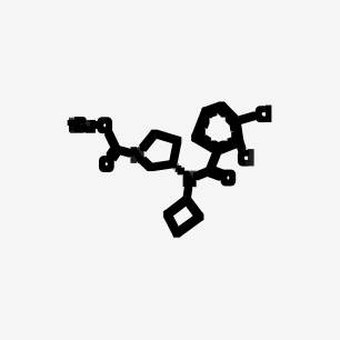 CC(C)(C)OC(=O)N1CC[C@H](N(C(=O)c2cccc(Cl)c2Cl)C2CCC2)C1